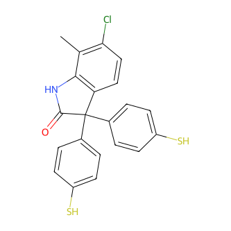 Cc1c(Cl)ccc2c1NC(=O)C2(c1ccc(S)cc1)c1ccc(S)cc1